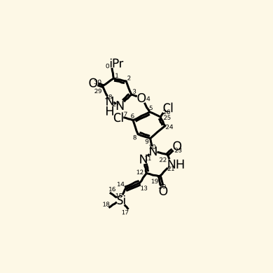 CC(C)c1cc(Oc2c(Cl)cc(-n3nc(C#C[Si](C)(C)C)c(=O)[nH]c3=O)cc2Cl)n[nH]c1=O